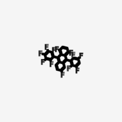 Fc1ccc2c(-c3c(F)c(F)c(F)c(F)c3F)c3c(F)ccc(F)c3c(-c3c(F)c(F)cc(F)c3F)c2c1